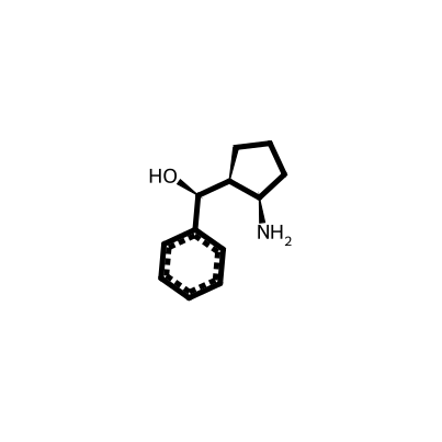 N[C@@H]1CCC[C@@H]1[C@H](O)c1ccccc1